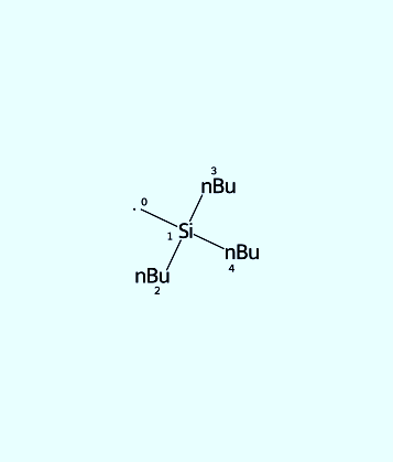 [CH2][Si](CCCC)(CCCC)CCCC